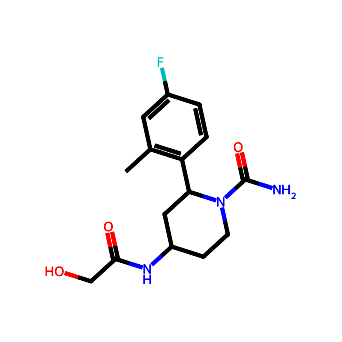 Cc1cc(F)ccc1C1CC(NC(=O)CO)CCN1C(N)=O